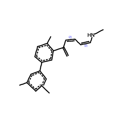 C=C(/C=C\C=C/NC)c1cc(-c2cc(C)cc(C)c2)ccc1C